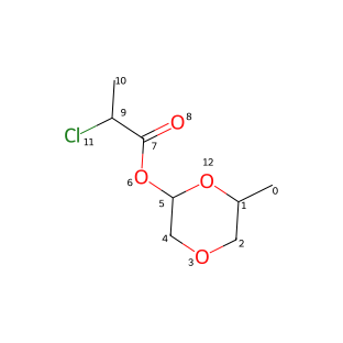 CC1COCC(OC(=O)C(C)Cl)O1